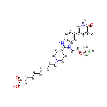 Cc1cc(-c2ccc3nc(C4CCN(CCCCCCCCCC(=O)O)CC4)n(CCOC(F)(F)F)c3c2)cn(C)c1=O